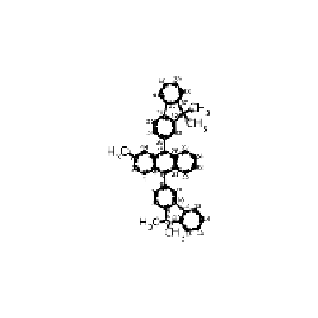 Cc1ccc2c(-c3ccc4c(c3)-c3ccccc3[Si]4(C)C)c3ccccc3c(-c3ccc4c(c3)C(C)(C)c3ccccc3-4)c2c1